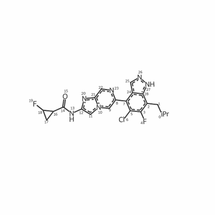 CC(C)Cc1c(F)c(Cl)c(-c2cn3cc(NC(=O)C4CC4F)nc3cn2)c2cn[nH]c12